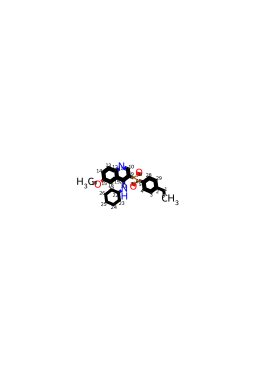 CCc1ccc(S(=O)(=O)c2cnc3ccc(OC)cc3c2NC2CCCCC2)cc1